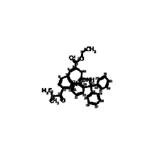 CCOC(=O)C1=Cc2ccc(C(=O)N(C)C)cc2N=C(NC(c2ccccc2)(c2ccccc2)c2ccccc2)C1